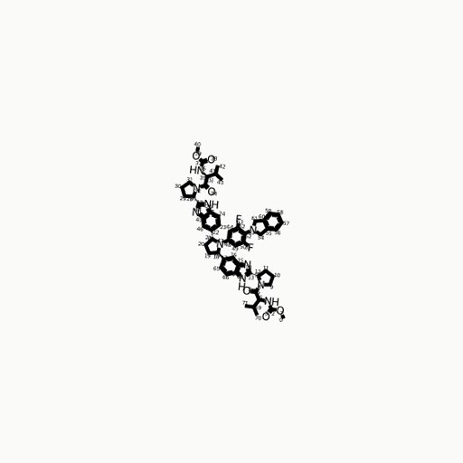 COC(=O)NC(C(=O)N1CCC[C@H]1c1nc2cc([C@H]3CC[C@H](c4ccc5[nH]c([C@@H]6CCCN6C(=O)[C@@H](NC(=O)OC)C(C)C)nc5c4)N3c3cc(F)c(N4Cc5ccccc5C4)c(F)c3)ccc2[nH]1)C(C)C